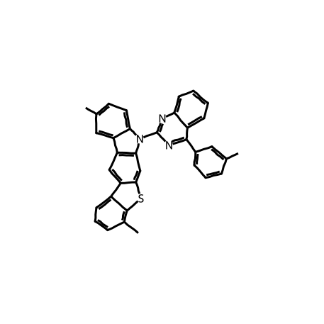 Cc1cccc(-c2nc(-n3c4ccc(C)cc4c4cc5c(cc43)sc3c(C)cccc35)nc3ccccc23)c1